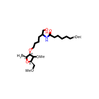 B[C@@H]1O[C@H](COC)C(OC)[C@@H]1OCCCCC(CO)NC(=O)CCCCCCCCCCCCCCC